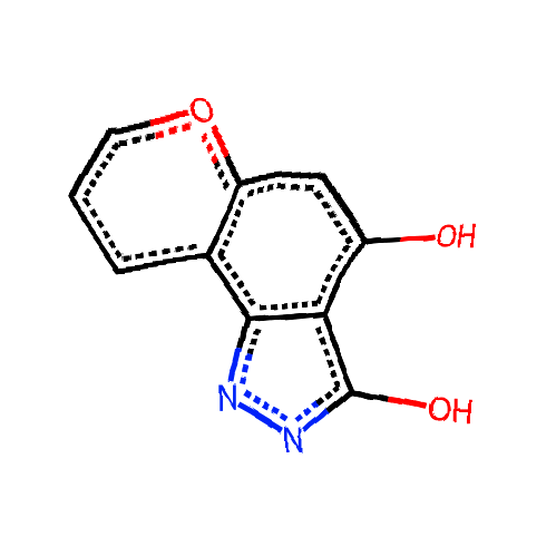 Oc1cc2occcc2c2nnc(O)c12